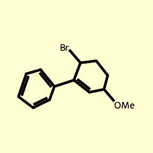 COC1C=C(c2ccccc2)C(Br)CC1